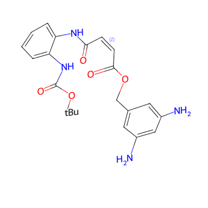 CC(C)(C)OC(=O)Nc1ccccc1NC(=O)/C=C\C(=O)OCc1cc(N)cc(N)c1